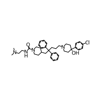 CN(C)CCNC(=O)N1CCC(CC(CCCN2CCC(O)(c3ccc(Cl)cc3)CC2)(c2ccccc2)c2ccccc2)CC1